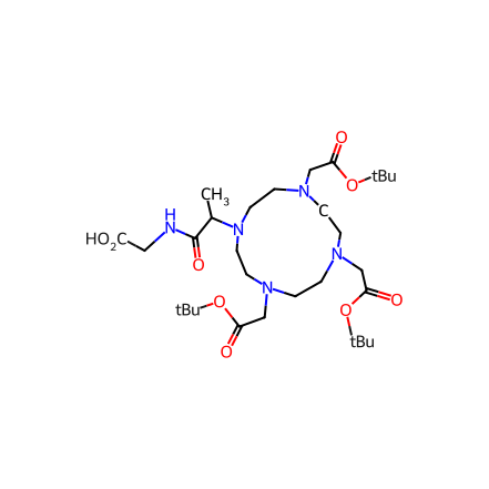 CC(C(=O)NCC(=O)O)N1CCN(CC(=O)OC(C)(C)C)CCN(CC(=O)OC(C)(C)C)CCN(CC(=O)OC(C)(C)C)CC1